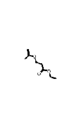 C=C(C)OCCC(=O)OCC